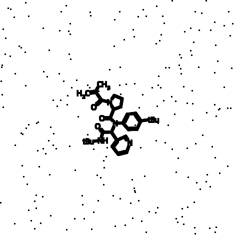 C=C(C)C(=O)N1CCCC1C(=O)N(c1ccc(C(C)(C)C)cc1)C(C(=O)NC(C)(C)C)c1cccnc1